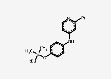 CC(C)c1cc(Nc2ccc(O[Si](C)(C)C(C)(C)C)cc2)ccn1